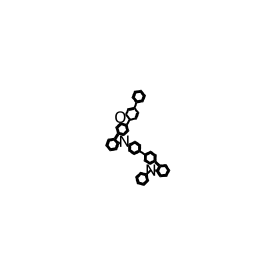 C1=CC2c3cc4c(cc3OC2C=C1c1ccccc1)c1ccccc1n4-c1ccc(-c2ccc3c4ccccc4n(-c4ccccc4)c3c2)cc1